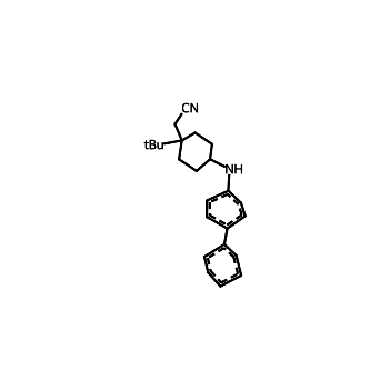 CC(C)(C)C1(CC#N)CCC(Nc2ccc(-c3ccccc3)cc2)CC1